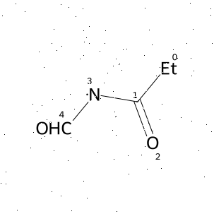 CCC(=O)[N]C=O